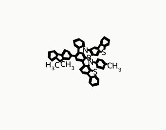 Cc1ccc(N2B3c4cc5sc6ccccc6c5cc4-n4c5ccccc5c5c(-c6ccc7c(c6)C(C)(C)c6ccccc6-7)cc(c3c54)-c3ccc4c(sc5ccccc54)c32)cc1